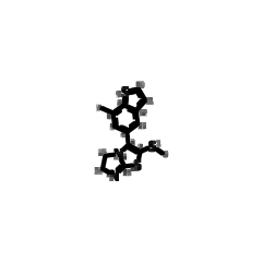 CSC1=C(c2cc(C)c3sccc3c2)N2CCN=C2S1